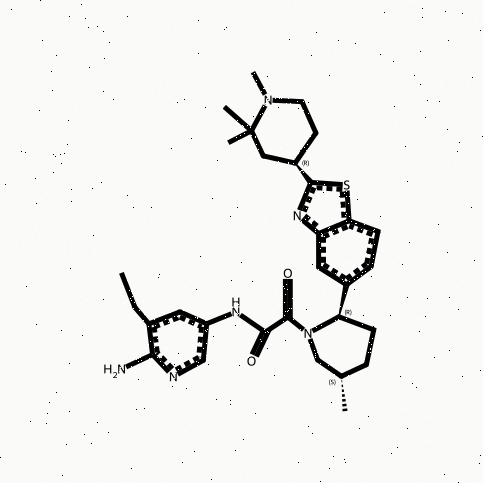 CCc1cc(NC(=O)C(=O)N2C[C@@H](C)CC[C@@H]2c2ccc3sc([C@@H]4CCN(C)C(C)(C)C4)nc3c2)cnc1N